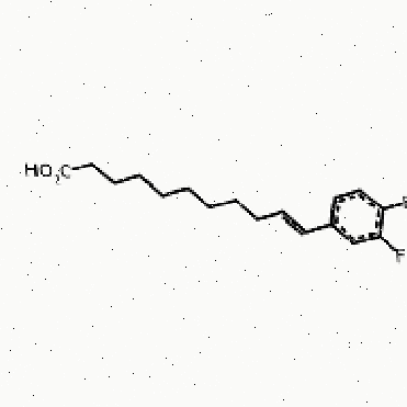 O=C(O)CCCCCCCC/C=C/c1ccc(F)c(F)c1